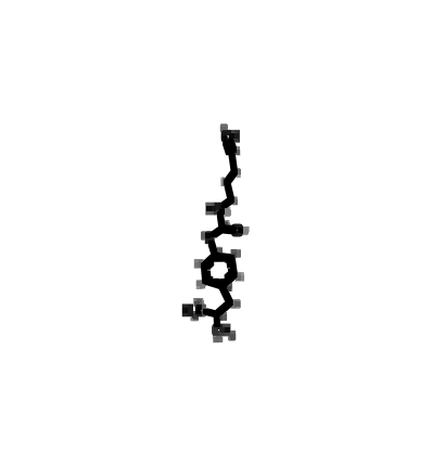 C#CCCCNC(=O)Sc1ccc(CC(C)C)cc1